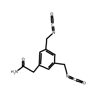 NC(=O)Cc1cc(CN=C=O)cc(CN=C=O)c1